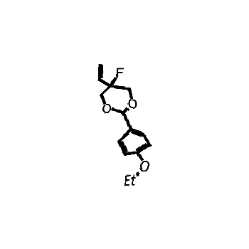 C=CC1(F)COC(c2ccc(OCC)cc2)OC1